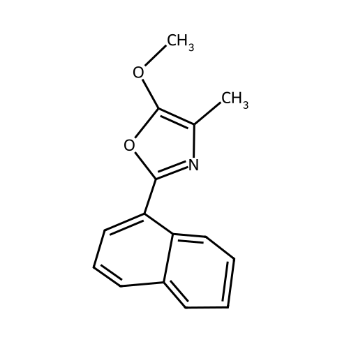 COc1oc(-c2cccc3ccccc23)nc1C